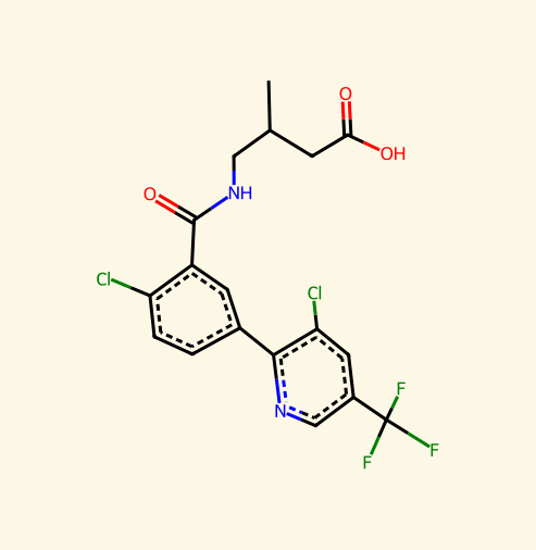 CC(CNC(=O)c1cc(-c2ncc(C(F)(F)F)cc2Cl)ccc1Cl)CC(=O)O